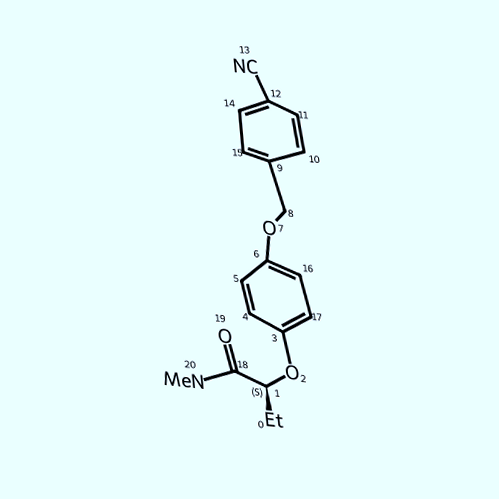 CC[C@H](Oc1ccc(OCc2ccc(C#N)cc2)cc1)C(=O)NC